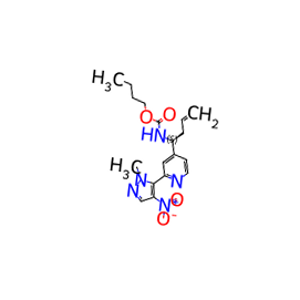 C=CC[C@H](NC(=O)OCCCC)c1ccnc(-c2c([N+](=O)[O-])cnn2C)c1